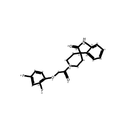 O=C(COc1ccc(F)cc1F)N1CCC2(CC1)C(=O)Nc1ccccc12